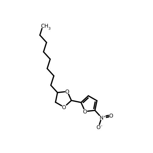 CCCCCCCCC1COC(c2ccc([N+](=O)[O-])o2)O1